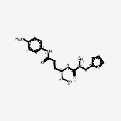 COc1ccc(NC(=O)/C=C/[C@H](CC(C)C)NC(=O)[C@@H](N)Cc2cccs2)cc1